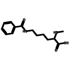 CNC(CCCCNC(=O)c1ccccc1)C(=O)O